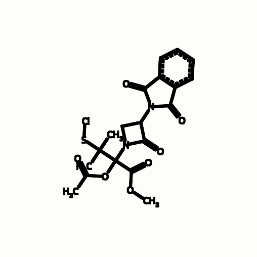 COC(=O)C(OC(C)=O)(N1CC(N2C(=O)c3ccccc3C2=O)C1=O)C(C)(C)SCl